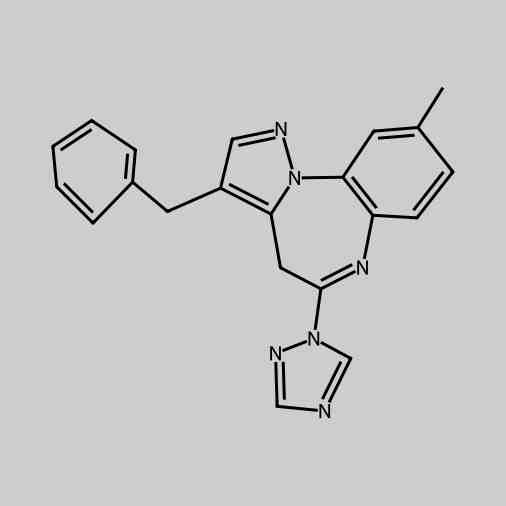 Cc1ccc2c(c1)-n1ncc(Cc3ccccc3)c1CC(n1cncn1)=N2